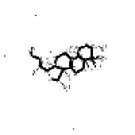 CC(C)CC[C@@H](C)[C@H]1C[C@@H](O)[C@@H]2C3=C(CC[C@]12C)[C@@]1(C)CC[C@H](O)C(C)(C)[C@@H]1CC3